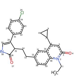 CCn1c(=O)cc(C2CC2)c2cc(CCC3C(=O)NC=C3c3ccc(Cl)cc3)ccc21